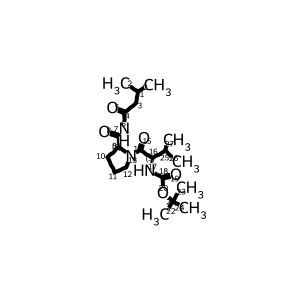 CC(C)CC(=O)NC(=O)[C@@H]1CCCN1C(=O)[C@@H](NC(=O)OC(C)(C)C)C(C)C